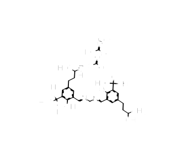 CC(=O)[O-].CC(=O)[O-].CC(C)CCc1cc(C=NCN=Cc2cc(CCC(C)C)cc(C(C)(C)C)c2O)c(O)c(C(C)(C)C)c1.[Co+2]